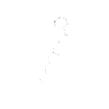 CC(=O)Oc1ccccc1C(=O)OCOC(=O)CCCCO[N+](=O)[O-]